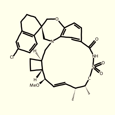 CO[C@@H]1/C=C/[C@@H](C)[C@@H](C)CS(=O)(=O)NC(=O)c2ccc3c(c2)N(C[C@@H]2CC[C@H]21)C[C@@]1(CCCc2cc(Cl)ccc21)CO3